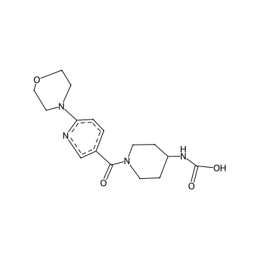 O=C(O)NC1CCN(C(=O)c2ccc(N3CCOCC3)nc2)CC1